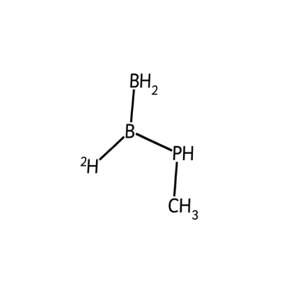 [2H]B(B)PC